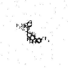 C[C@H]1c2c([nH]c3ccc(C(F)(F)F)cc23)C[C@H]2CCN(CCC3(NS(=O)(=O)C(F)(F)F)CCOCC3)C[C@@H]21